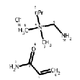 C=CC(N)=O.CCC[N+](C)(C)CN.[Cl-]